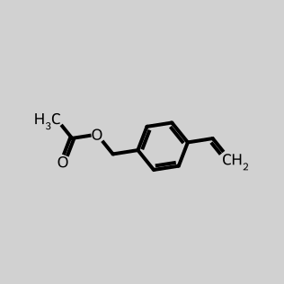 C=Cc1ccc(COC(C)=O)cc1